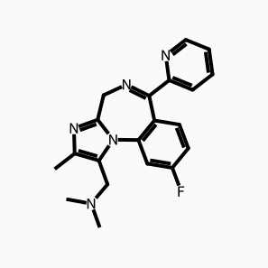 Cc1nc2n(c1CN(C)C)-c1cc(F)ccc1C(c1ccccn1)=NC2